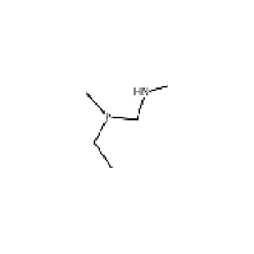 CCP(C)CNC